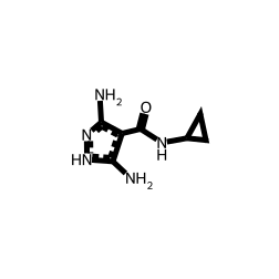 Nc1n[nH]c(N)c1C(=O)NC1CC1